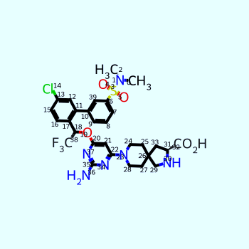 CN(C)S(=O)(=O)c1cccc(-c2cc(Cl)ccc2C(Oc2cc(N3CCC4(CC3)CN[C@H](C(=O)O)C4)nc(N)n2)C(F)(F)F)c1